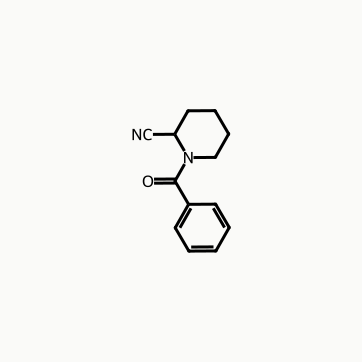 N#CC1CCCCN1C(=O)c1ccccc1